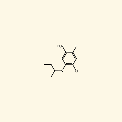 CCC(C)Sc1cc(N)c(F)cc1Cl